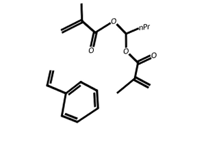 C=C(C)C(=O)OC(CCC)OC(=O)C(=C)C.C=Cc1ccccc1